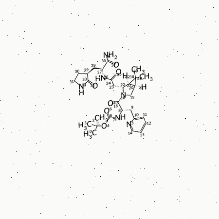 CC(C)(C)OC(=O)N[C@@H](Cc1ccccn1)C(=O)N1C[C@H]2[C@@H]([C@H]1CC(=O)N[C@@H](C[C@@H]1CCNC1=O)C(N)=O)C2(C)C